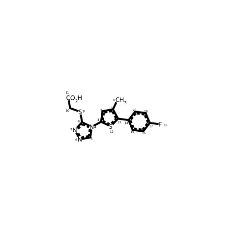 Cc1cc(-n2cnnc2SCC(=O)O)sc1-c1ccc(F)cc1